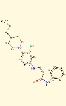 CCCC1CCN(c2ccc(NC=C3C(=O)Nc4ccccc43)cc2F)CC1